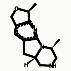 C[C@@H]1OCc2cc3c(nc21)N1[C@@H](CNC[C@H]1C)C3